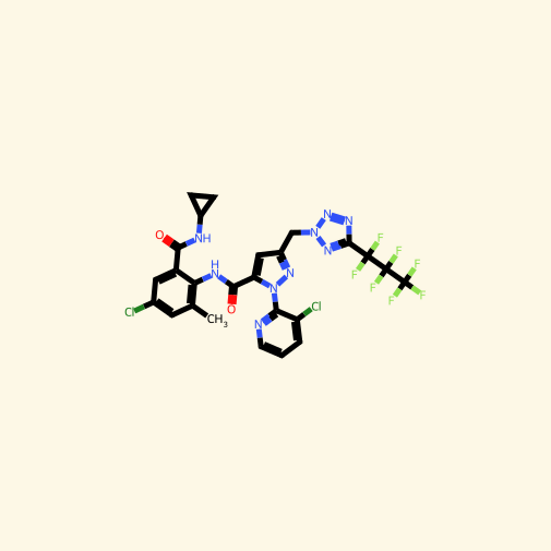 Cc1cc(Cl)cc(C(=O)NC2CC2)c1NC(=O)c1cc(Cn2nnc(C(F)(F)C(F)(F)C(F)(F)F)n2)nn1-c1ncccc1Cl